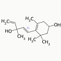 C=CC(C)(O)/C=C/C1=C(C)CC(O)CC1(C)C